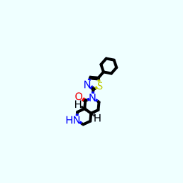 O=C1[C@H]2CNCC[C@@H]2CCN1c1ncc(C2CCCCC2)s1